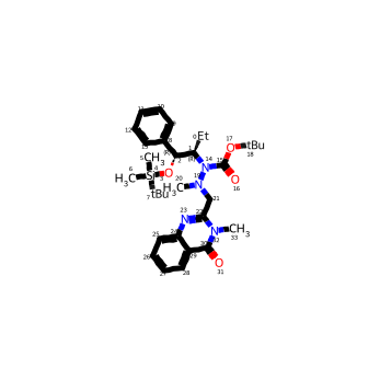 CC[C@H]([C@H](O[Si](C)(C)C(C)(C)C)c1ccccc1)N(C(=O)OC(C)(C)C)N(C)Cc1nc2ccccc2c(=O)n1C